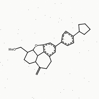 C=C1CCc2cc(-c3ccc(C4CCCC4)cc3)cc3c2C2C1CCC(COC)C2O3